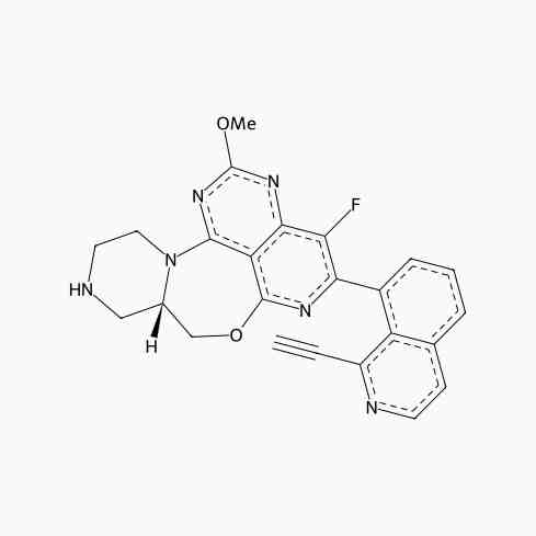 C#Cc1nccc2cccc(-c3nc4c5c(nc(OC)nc5c3F)N3CCNC[C@H]3CO4)c12